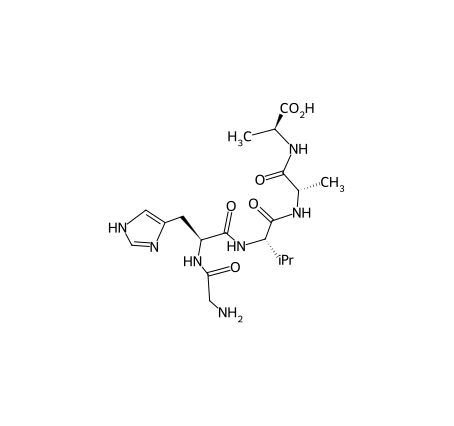 CC(C)[C@H](NC(=O)[C@H](Cc1c[nH]cn1)NC(=O)CN)C(=O)N[C@@H](C)C(=O)N[C@@H](C)C(=O)O